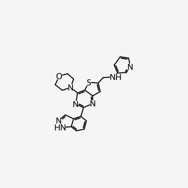 c1cncc(NCc2cc3nc(-c4cccc5[nH]ncc45)nc(N4CCOCC4)c3s2)c1